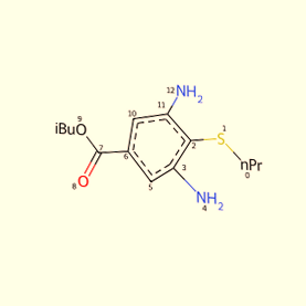 CCCSc1c(N)cc(C(=O)OCC(C)C)cc1N